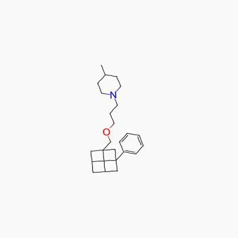 CC1CCN(CCCOCC23CC4CC5CC(c6ccccc6)(C2)C453)CC1